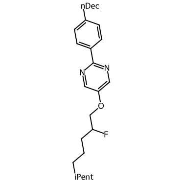 CCCCCCCCCCc1ccc(-c2ncc(OCC(F)CCCC(C)CCC)cn2)cc1